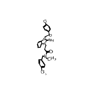 CN(Cc1ccc(C(F)(F)F)cc1)C(=O)CCn1c(=N)n(CC(=O)c2ccc(Cl)cc2)c2ccccc21